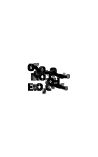 CC#CC(=O)C(=O)OCC.CC#CC(O)C(=O)OCC.CCOC(=O)C=O